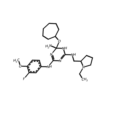 CCN1CCCC1CNC1=NC(Nc2ccc(OC)c(F)c2)=NC(N)(OC2CCCCCC2)N1